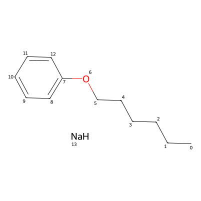 CCCCCCOc1ccccc1.[NaH]